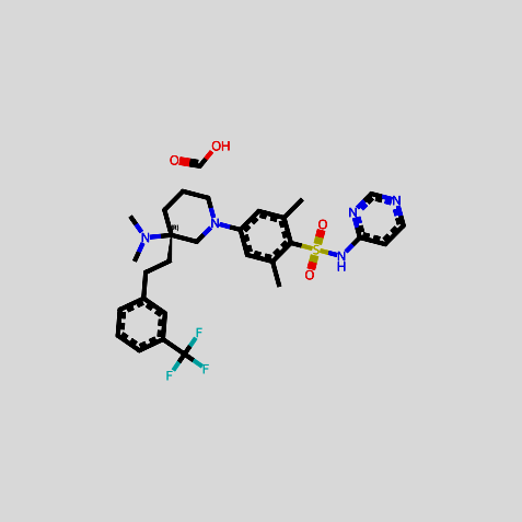 Cc1cc(N2CCC[C@@](CCc3cccc(C(F)(F)F)c3)(N(C)C)C2)cc(C)c1S(=O)(=O)Nc1ccncn1.O=CO